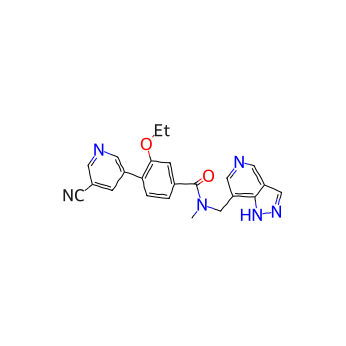 CCOc1cc(C(=O)N(C)Cc2cncc3cn[nH]c23)ccc1-c1cncc(C#N)c1